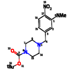 CNc1cc(CN2CCN(C(=O)OC(C)(C)C)CC2)ccc1[N+](=O)[O-]